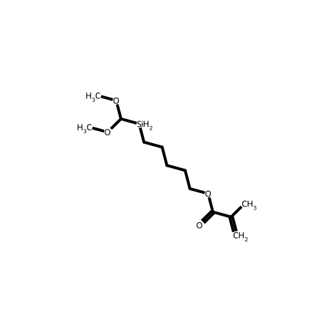 C=C(C)C(=O)OCCCCC[SiH2]C(OC)OC